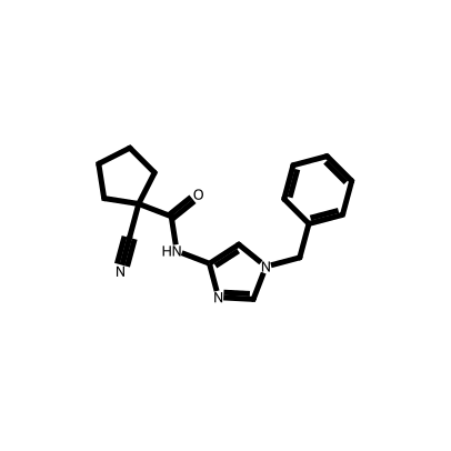 N#CC1(C(=O)Nc2cn(Cc3ccccc3)cn2)CCCC1